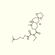 CCN(C(=O)NCCCCN(C)C)C(=O)[C@@H]1C[C@@H]2CC3(CC[C@H]2N(C)C1)OCCO3